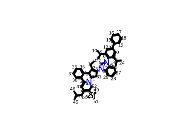 CCC1=C([n+]2cn(-c3c(C(C)C)cc(-c4ccccc4)cc3C(C)C)c3ccccc32)CC2C1c1ccccc1-c1cc(CC(C)C)c([Si](C)(C)C)c[n+]12